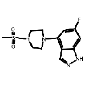 CS(=O)(=O)N1CCN(c2cc(F)cc3[nH]ncc23)CC1